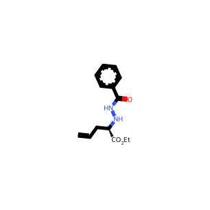 C=CC[C@@H](NNC(=O)c1ccccc1)C(=O)OCC